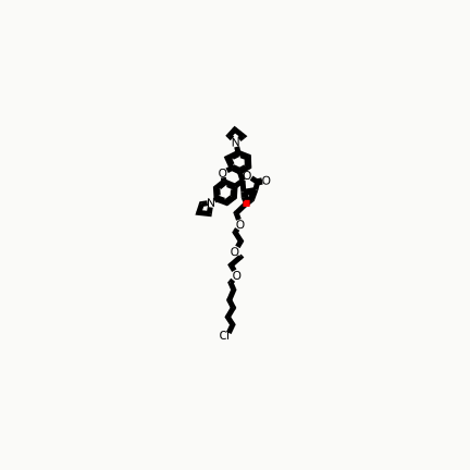 O=C1OC2(c3ccc(N4CCC4)cc3Oc3cc(N4CCC4)ccc32)c2cc(COCCOCCOCCCCCCCl)ccc21